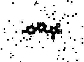 O=C1NC(=O)/C(=C/c2ccnc(N3CCC(F)CC3)n2)S1